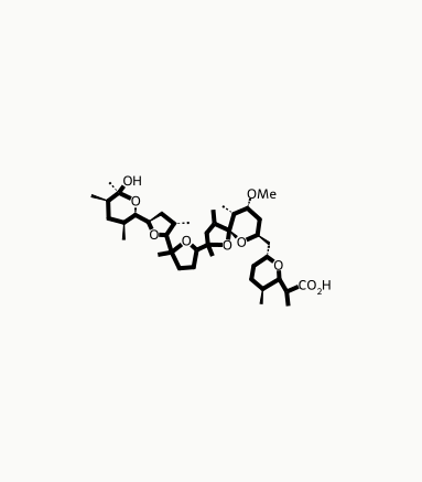 CO[C@@H]1C[C@@H](C[C@H]2CC[C@H](C)C(C(C)C(=O)O)O2)O[C@]2(OC(C)(C3CCC(C)(C4O[C@@H]([C@H]5O[C@](C)(O)[C@H](C)C[C@@H]5C)C[C@@H]4C)O3)CC2C)[C@@H]1C